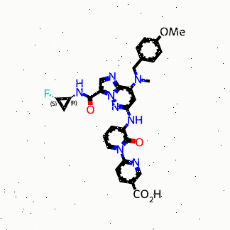 COc1ccc(CN(C)c2cc(Nc3cccn(-c4ccc(C(=O)O)cn4)c3=O)nn3c(C(=O)N[C@@H]4C[C@@H]4F)cnc23)cc1